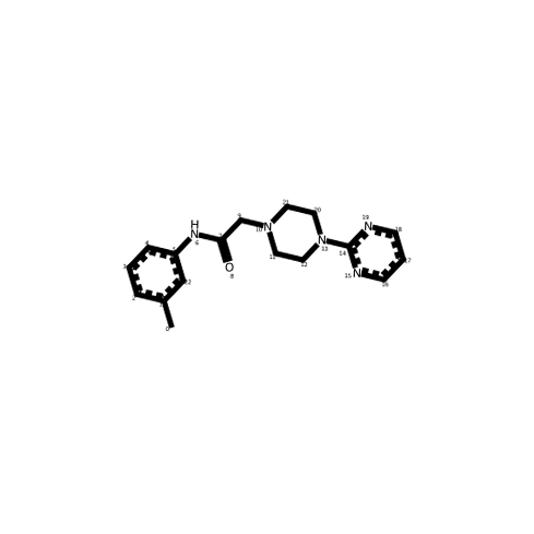 Cc1cccc(NC(=O)CN2CCN(c3ncccn3)CC2)c1